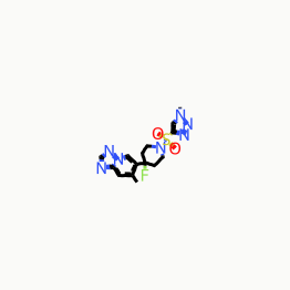 Cc1cc2ncnn2cc1C1(F)CCN(S(=O)(=O)c2cn(C)nn2)CC1